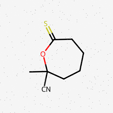 CC1(C#N)CCCCC(=S)O1